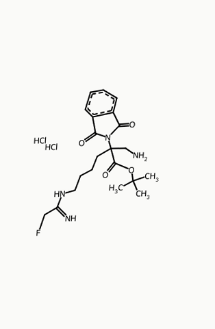 CC(C)(C)OC(=O)C(CN)(CCCCNC(=N)CF)N1C(=O)c2ccccc2C1=O.Cl.Cl